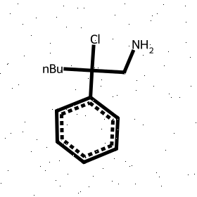 CCCCC(Cl)(CN)c1ccccc1